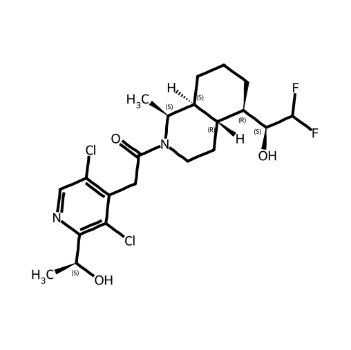 C[C@H](O)c1ncc(Cl)c(CC(=O)N2CC[C@H]3[C@H]([C@H](O)C(F)F)CCC[C@@H]3[C@@H]2C)c1Cl